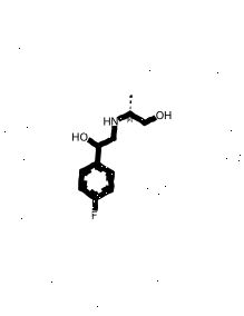 C[C@H](CO)NCC(O)c1ccc(F)cc1